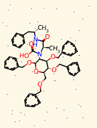 C[C@H](C(=O)N[C@@H](C)Cc1ccccc1)N(C(=O)O)[C@H]1C(OCc2ccccc2)O[C@H](COCc2ccccc2)[C@@H](OCc2ccccc2)[C@@H]1OCc1ccccc1